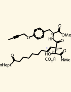 CC#CCOc1ccc(C[C@H](NC(=O)[C@@](C)(/C=C/CCCCCCC(=O)CCCCCCC)[C@@](O)(C(=O)O)C(=O)NC)C(=O)OC)cc1